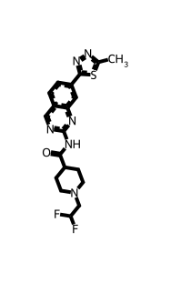 Cc1nnc(-c2ccc3cnc(NC(=O)C4CCN(CC(F)F)CC4)nc3c2)s1